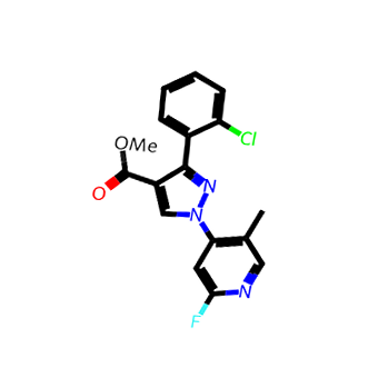 COC(=O)c1cn(-c2cc(F)ncc2C)nc1-c1ccccc1Cl